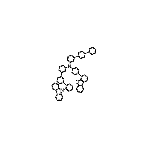 c1ccc(-c2ccc(-c3cccc(N(c4ccc(-c5cccc6c5oc5ccccc56)cc4)c4cccc(-c5cccc(-c6ccccc6-n6c7ccccc7c7ccccc76)c5)c4)c3)cc2)cc1